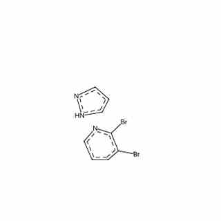 Brc1cccnc1Br.c1cn[nH]c1